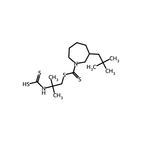 CC(C)(C)CC1CCCCN(C(=S)SCC(C)(C)NC(=S)S)C1